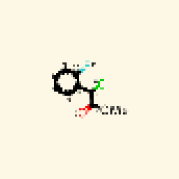 COC(=O)C(Cl)c1ccccc1F